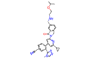 CC(C)OCCNCc1ccc2c(c1)C(=O)N(c1cc(-c3ccc(C#N)cc3-c3nncn3C)cc(C3CC3)n1)C2